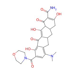 CN(C)c1cc(C(=O)N2CCOCC2)c(O)c2c1CC1CC3CC(O)=C(C(N)=O)C(=O)C3C(O)=C1C2=O